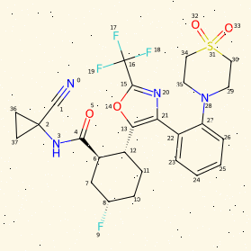 N#CC1(NC(=O)[C@@H]2C[C@@H](F)CC[C@H]2c2oc(C(F)(F)F)nc2-c2ccccc2N2CCS(=O)(=O)CC2)CC1